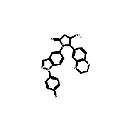 NC1CC(=O)N(c2ccc3c(cnn3-c3ccc(F)cc3)c2)C1c1ccc2c(c1)OCCO2